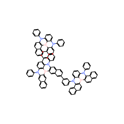 c1ccc(N2c3cc4ccccc4cc3B3c4cc5cc(-c6cccc(N7c8cccc9c8B(c8ccc%10ccccc%10c8N9c8ccccc8)c8ccc9ccccc9c87)c6)ccc5cc4N(c4ccccc4)c4c(-c5ccc6c7c(ccc6c5)N(c5ccccc5)c5cccc6c5B7c5c(ccc7ccccc57)N6c5ccccc5)ccc2c43)cc1